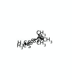 CCO[Si](CCCSSSSC(=S)N(C)C)(OCC)OCC